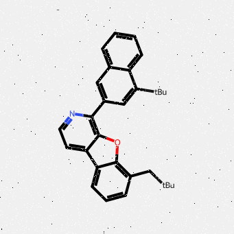 CC(C)(C)Cc1cccc2c1oc1c(-c3cc(C(C)(C)C)c4ccccc4c3)nccc12